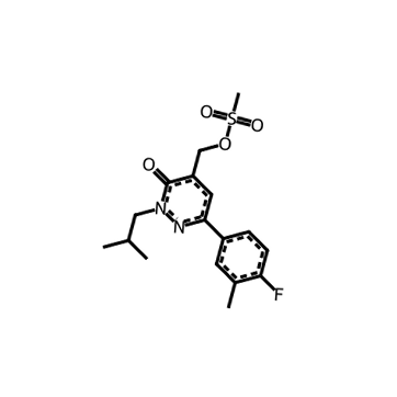 Cc1cc(-c2cc(COS(C)(=O)=O)c(=O)n(CC(C)C)n2)ccc1F